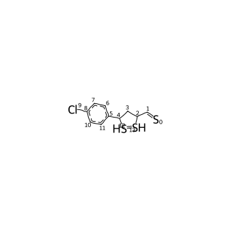 S=CC1CC(c2ccc(Cl)cc2)[SH]=[SH]1